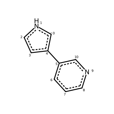 [c]1[nH]ccc1-c1cccnc1